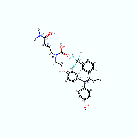 CC/C(=C(\c1ccc(O)cc1)c1ccc(OCCN(C/C=C/C(=O)N(C)C)C(=O)O)cc1)c1cccc(C(F)(F)F)c1